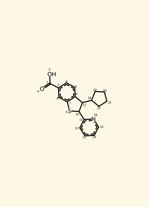 O=C(O)c1ccc2c(c1)SC(c1ccccn1)C2C1CCCC1